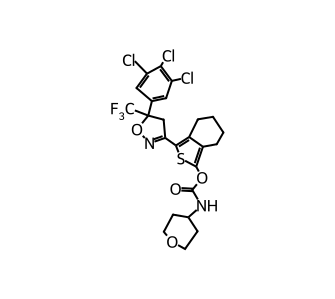 O=C(NC1CCOCC1)Oc1sc(C2=NOC(c3cc(Cl)c(Cl)c(Cl)c3)(C(F)(F)F)C2)c2c1CCCC2